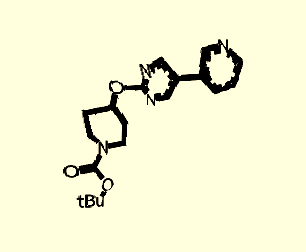 CC(C)(C)OC(=O)N1CCC(Oc2ncc(-c3cccnc3)cn2)CC1